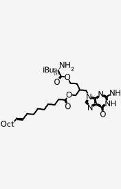 CCCCCCCCC=CCCCCCCCC(=O)OCC(CCOC(=O)[C@@H](N)[C@@H](C)CC)Cn1cnc2c(=O)[nH]c(N)nc21